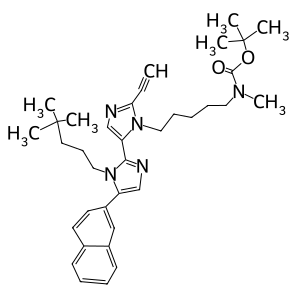 C#Cc1ncc(-c2ncc(-c3ccc4ccccc4c3)n2CCCC(C)(C)C)n1CCCCCN(C)C(=O)OC(C)(C)C